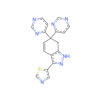 C1=CC(c2ccncn2)(c2ccncn2)Cc2[nH]nc(-c3cncs3)c21